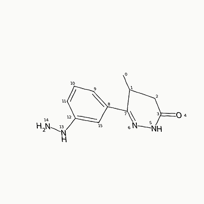 CC1CC(=O)NN=C1c1cccc(NN)c1